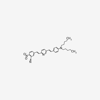 CCCCCN(CCCCC)c1ccc(C=Cc2ccc(C=Cc3ccc([N+](=O)[O-])c(C#N)c3)nc2)cc1